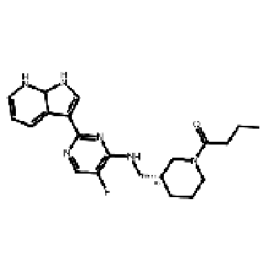 CCCC(=O)N1CCC[C@H](CNc2nc(C3=CNC4NC=CC=C34)ncc2F)C1